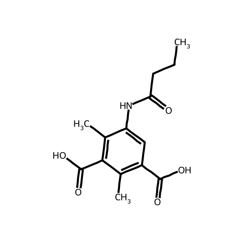 CCCC(=O)Nc1cc(C(=O)O)c(C)c(C(=O)O)c1C